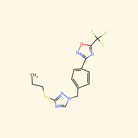 CCCSc1ncn(Cc2ccc(-c3noc(C(F)(F)F)n3)cc2)n1